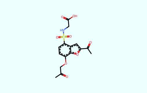 CC(=O)COc1ccc(S(=O)(=O)NCC(=O)O)c2cc(C(C)=O)oc12